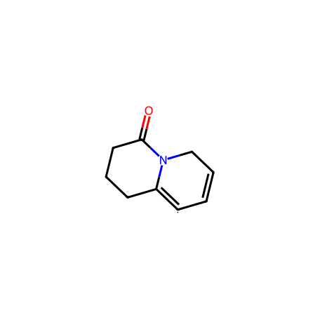 O=C1CCCC2=[C]C=CCN12